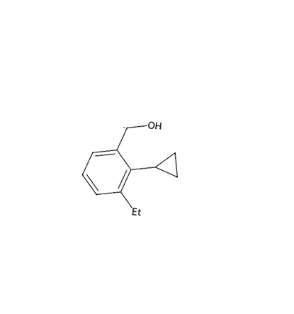 CCc1cccc([CH]O)c1C1CC1